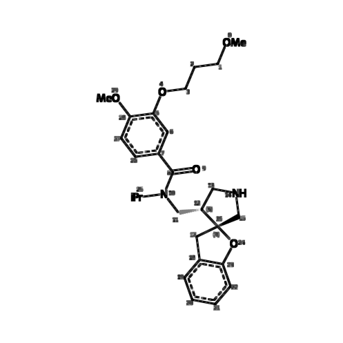 COCCCOc1cc(C(=O)N(C[C@@H]2CNC[C@@]23Cc2ccccc2O3)C(C)C)ccc1OC